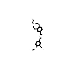 CC(C)Oc1ccc(-c2nc(-c3ccc4c(c3)CCN(CCN)CC4)no2)cc1C#N